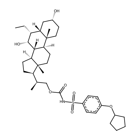 CC[C@H]1[C@@H](O)[C@@H]2[C@H](CC[C@]3(C)[C@@H]([C@H](C)COC(=O)NS(=O)(=O)c4ccc(OC5CCCC5)cc4)CC[C@@H]23)[C@@]2(C)CC[C@@H](O)C[C@@H]12